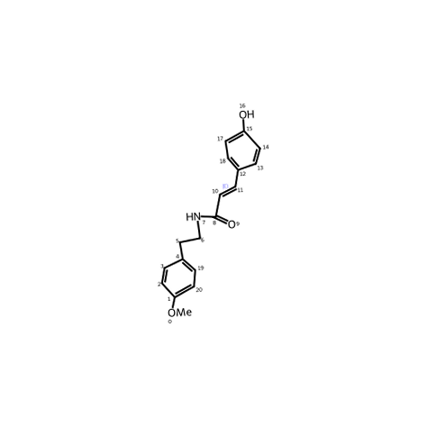 COc1ccc(CCNC(=O)/C=C/c2ccc(O)cc2)cc1